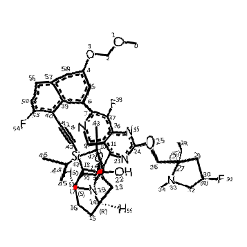 COCOc1cc(-c2ncc3c(N4C[C@H]5CC[C@@H](C4)N5C(=O)O)nc(OC[C@]4(C)C[C@@H](F)CN4C)nc3c2F)c2c(C#C[Si](C(C)C)(C(C)C)C(C)C)c(F)ccc2c1